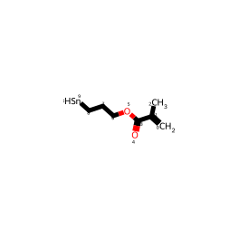 C=C(C)C(=O)OCC[CH2][SnH]